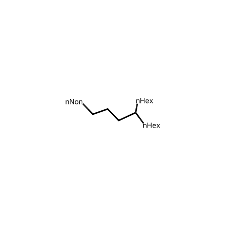 [CH2]CCCCCC(CCCCCC)CCCCCCCCCCCC